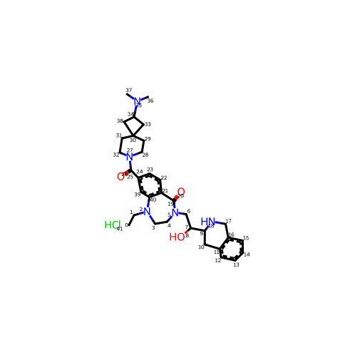 CCN1CCN(CC(O)C2Cc3ccccc3CN2)C(=O)c2ccc(C(=O)N3CCC4(CC3)CC(N(C)C)C4)cc21.Cl